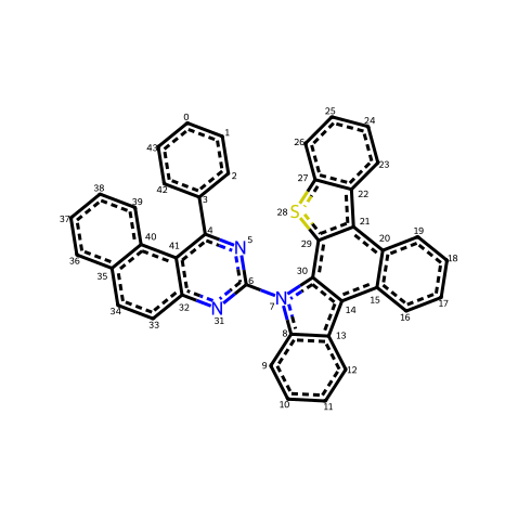 c1ccc(-c2nc(-n3c4ccccc4c4c5ccccc5c5c6ccccc6sc5c43)nc3ccc4ccccc4c23)cc1